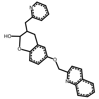 OC1Oc2ccc(OCc3ccc4ccccc4n3)cc2CC1Cc1ccccn1